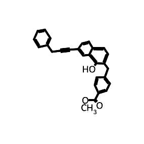 COC(=O)c1ccc(Cc2ccc3ccc(C#CCc4ccccc4)cc3c2O)cc1